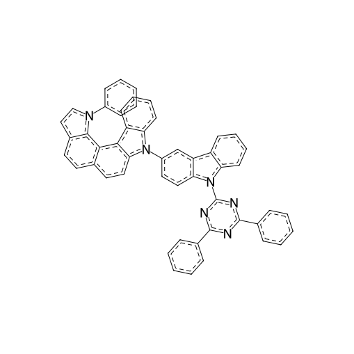 c1ccc(-c2nc(-c3ccccc3)nc(-n3c4ccccc4c4cc(-n5c6ccccc6c6c7c(ccc8ccn(-c9ccccc9)c87)ccc65)ccc43)n2)cc1